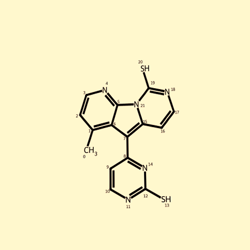 Cc1ccnc2c1c(-c1ccnc(S)n1)c1ccnc(S)n12